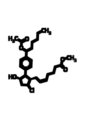 CCCCCC(OC(C)=O)c1ccc(C2[C@@H](C/C=C\CCCC(=O)OC)C(Cl)C[C@H]2O)cc1